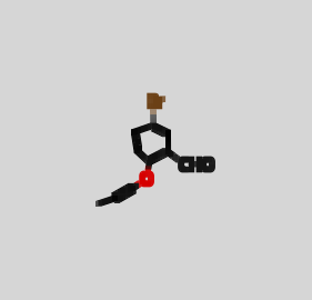 CC#COc1ccc(Br)cc1C=O